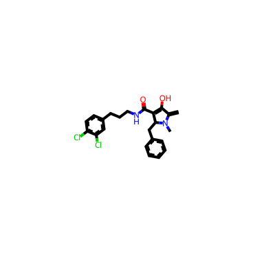 C=C1C(O)=C(C(=O)NCCCc2ccc(Cl)c(Cl)c2)C(Cc2ccccc2)N1C